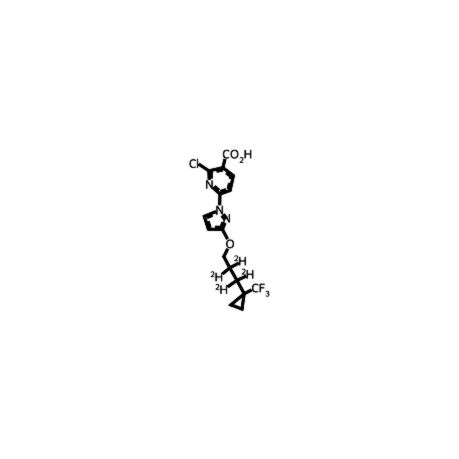 [2H]C([2H])(COc1ccn(-c2ccc(C(=O)O)c(Cl)n2)n1)C([2H])([2H])C1(C(F)(F)F)CC1